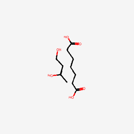 CC(O)CCO.O=C(O)CCCCCC(=O)O